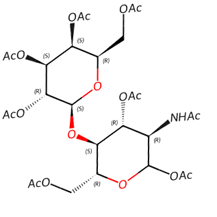 CC(=O)N[C@H]1C(OC(C)=O)O[C@H](COC(C)=O)[C@@H](O[C@@H]2O[C@H](COC(C)=O)[C@H](OC(C)=O)[C@H](OC(C)=O)[C@H]2OC(C)=O)[C@@H]1OC(C)=O